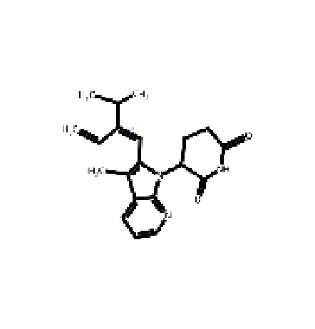 C=C/C(=C\c1c(C)c2cccnc2n1C1CCC(=O)NC1=O)C(C)C